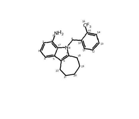 Nc1cccc2c3c(n(Cc4ccccc4C(F)(F)F)c12)CCCCC3